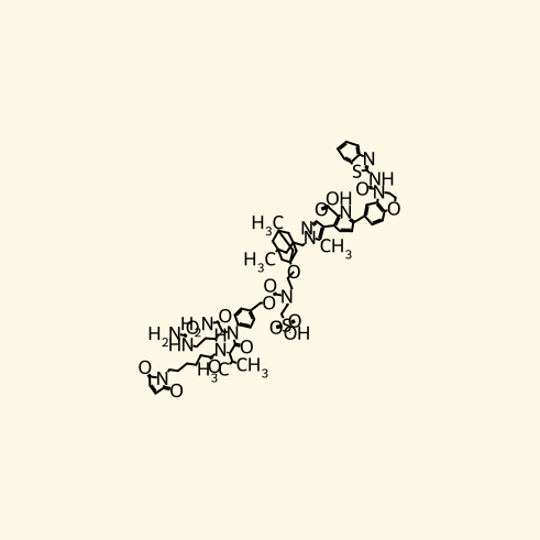 Cc1c(-c2ccc(-c3ccc4c(c3)N(C(=O)Nc3nc5ccccc5s3)CCO4)nc2C(=O)O)cnn1CC12CC3(C)CC(C)(C1)CC(OCCN(CCS(=O)(=O)O)C(=O)OCc1ccc(N(C(=O)[C@@H](NC(=O)CCCCCN4C(=O)C=CC4=O)C(C)C)[C@@H](CCCNC(N)=O)C(N)=O)cc1)(C3)C2